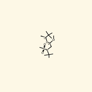 CO[C@@H](CN(C(C)(C)C)S(C)(=O)=O)O[C@@H](C)C(C)(C)C